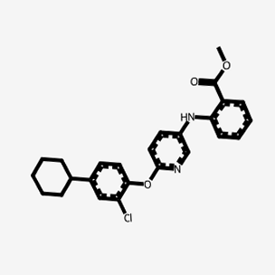 COC(=O)c1ccccc1Nc1ccc(Oc2ccc(C3CCCCC3)cc2Cl)nc1